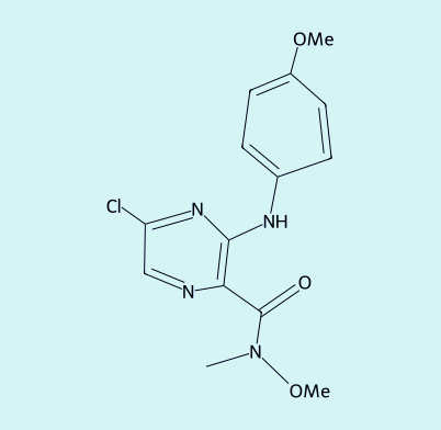 COc1ccc(Nc2nc(Cl)cnc2C(=O)N(C)OC)cc1